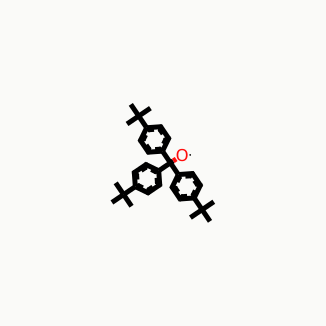 CC(C)(C)c1ccc(C([O])(c2ccc(C(C)(C)C)cc2)c2ccc(C(C)(C)C)cc2)cc1